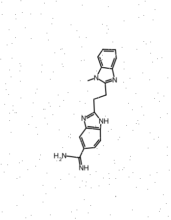 Cn1c(CCc2nc3cc(C(=N)N)ccc3[nH]2)nc2ccccc21